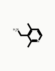 Cc1ccnc(C)c1CN